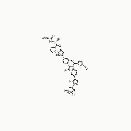 COC(=O)N[C@H](C(=O)N1CCC[C@H]1c1ncc(-c2ccc3c(c2)OC(c2ccc(C4CC4)s2)n2c-3c(F)c3cc(-c4cnc(C5=N[C@@H]6C[C@@H]6C5)[nH]4)ccc32)[nH]1)C(C)C